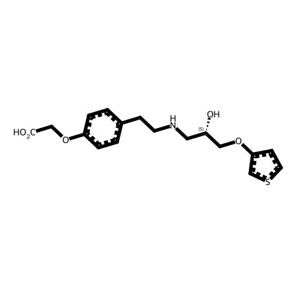 O=C(O)COc1ccc(CCNC[C@H](O)COc2ccsc2)cc1